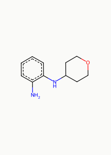 Nc1ccccc1NC1CCOCC1